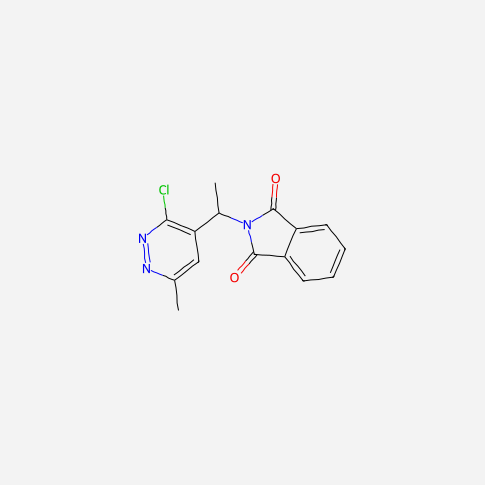 Cc1cc(C(C)N2C(=O)c3ccccc3C2=O)c(Cl)nn1